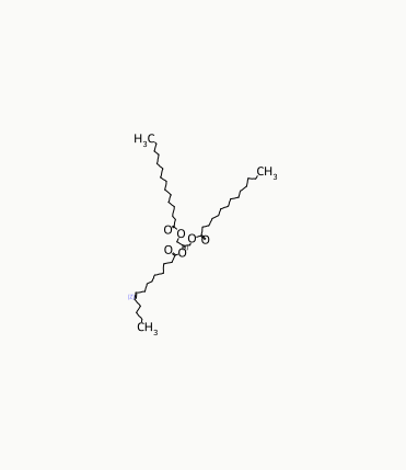 CCCC/C=C\CCCCCCCC(=O)O[C@H](COC(=O)CCCCCCCCCCCCC)COC(=O)CCCCCCCCCCCCCC